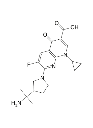 CC(C)(N)C1CCN(c2nc3c(cc2F)c(=O)c(C(=O)O)cn3C2CC2)C1